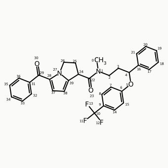 CN(CCC(Oc1ccc(C(F)(F)F)cc1)c1ccccc1)C(=O)C1CCn2c(C(=O)c3ccccc3)ccc21